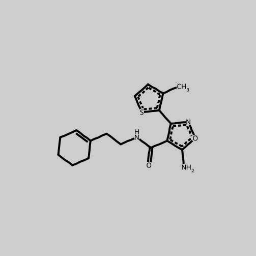 Cc1ccsc1-c1noc(N)c1C(=O)NCCC1=CCCCC1